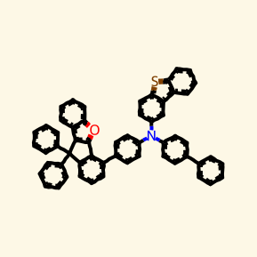 c1ccc(-c2ccc(N(c3ccc(-c4cccc5c4-c4oc6ccccc6c4C5(c4ccccc4)c4ccccc4)cc3)c3ccc4sc5ccccc5c4c3)cc2)cc1